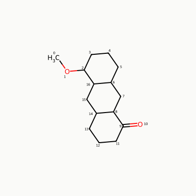 COC1CCCC2CC3C(=O)CCCC3CC21